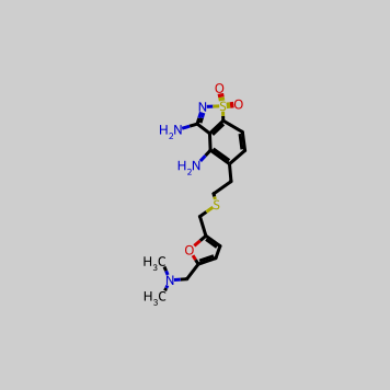 CN(C)Cc1ccc(CSCCc2ccc3c(c2N)C(N)=NS3(=O)=O)o1